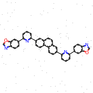 c1cc(-c2ccc3c(ccc4cc(-c5cccc(-c6ccc7ncoc7c6)n5)ccc43)c2)nc(-c2ccc3ncoc3c2)c1